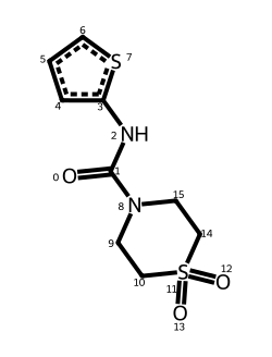 O=C(Nc1cccs1)N1CCS(=O)(=O)CC1